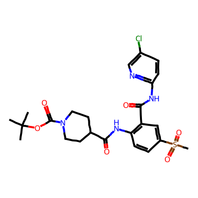 CC(C)(C)OC(=O)N1CCC(C(=O)Nc2ccc(S(C)(=O)=O)cc2C(=O)Nc2ccc(Cl)cn2)CC1